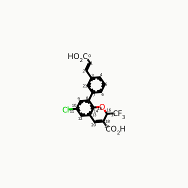 O=C(O)/C=C/c1cccc(-c2cc(Cl)cc3c2OC(C(F)(F)F)C(C(=O)O)=C3)c1